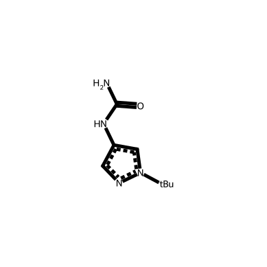 CC(C)(C)n1cc(NC(N)=O)cn1